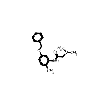 Cc1ccc(OCc2ccccc2)cc1NC(=O)CN(C)C